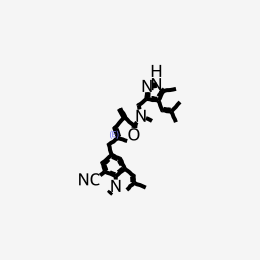 C=Nc1c(C#N)cc(C/C(C)=C/C(=C)C(=O)N(C)Cc2n[nH]c(C)c2C=C(C)C)cc1C=C(C)C